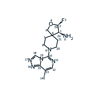 N[C@@H]1[C@H](F)OCC12CCN(c1ncc(I)c3nncn13)CC2